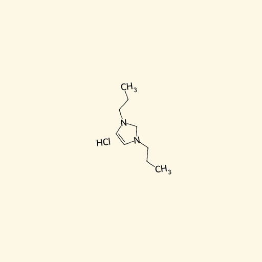 CCCN1C=CN(CCC)C1.Cl